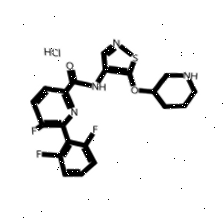 Cl.O=C(Nc1cnsc1OC1CCCNC1)c1ccc(F)c(-c2c(F)cccc2F)n1